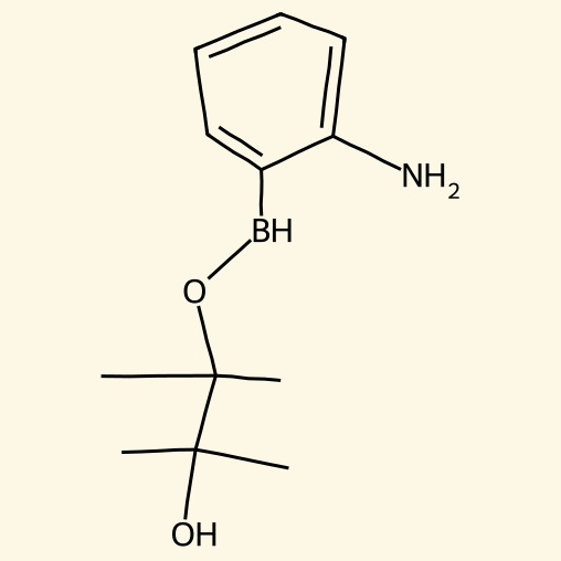 CC(C)(O)C(C)(C)OBc1ccccc1N